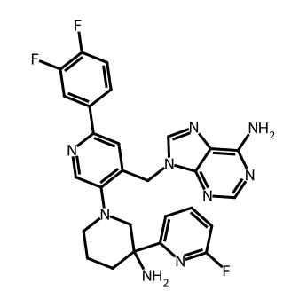 Nc1ncnc2c1ncn2Cc1cc(-c2ccc(F)c(F)c2)ncc1N1CCCC(N)(c2cccc(F)n2)C1